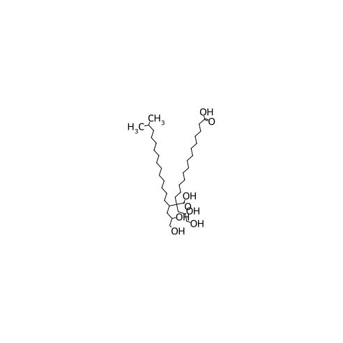 CC(C)CCCCCCCCCCCCC(CC(O)CO)C(CCCCCCCCCCCCCC(=O)O)(CC(O)CO)C(=O)O